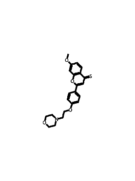 COc1ccc2c(=S)cc(-c3ccc(OCCN4CCOCC4)cc3)oc2c1